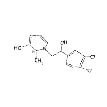 C[C@@H]1C(O)=CC=CN1CC(O)c1ccc(Cl)c(Cl)c1